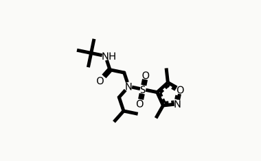 Cc1noc(C)c1S(=O)(=O)N(CC(=O)NC(C)(C)C)CC(C)C